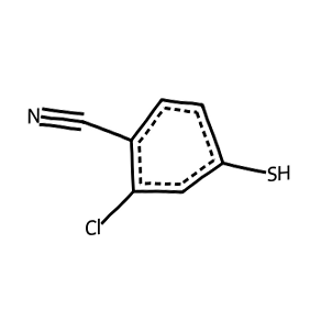 N#Cc1ccc(S)cc1Cl